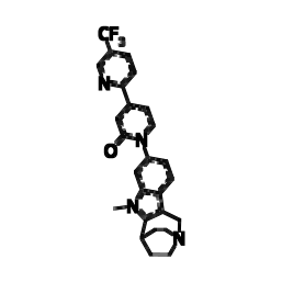 Cn1c2c(c3ccc(-n4ccc(-c5ccc(C(F)(F)F)cn5)cc4=O)cc31)CN1CCC2CC1